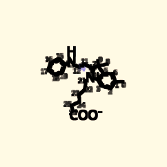 Cc1ccc2c(c1)C(C)(C)C(/C=C/Nc1ccccc1)=[N+]2CCCCCC(=O)[O-]